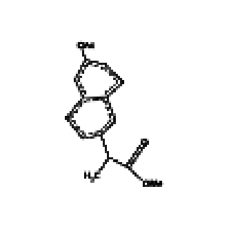 COC(=O)C(C)c1ccc2cc(OC(C)=O)ccc2c1